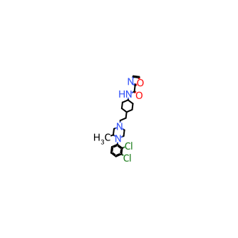 CC1CN(CCC2CCC(NC(=O)c3ncco3)CC2)CCN1c1cccc(Cl)c1Cl